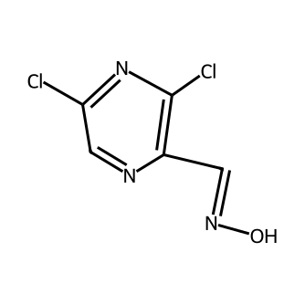 O/N=C/c1ncc(Cl)nc1Cl